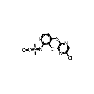 CS(C)(=C=O)=Nc1nccc(Sc2cnc(Cl)cn2)c1Cl